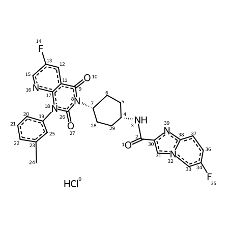 Cl.O=C(N[C@H]1CC[C@@H](n2c(=O)c3cc(F)cnc3n(-c3cccc(I)c3)c2=O)CC1)c1cn2cc(F)ccc2n1